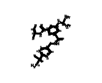 C=C(NCc1cnc(C(C)(C)P)nc1)c1cc(OC(CCC)CCC)cc(C(=C)S/C(C)=C\C)c1